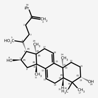 C=C(CCC(C(=O)O)[C@H]1[C@H](O)C[C@@]2(C)C3=CC[C@H]4C(C)(C)[C@@H](O)CC[C@]4(C)C3=CC[C@]12C)C(C)C